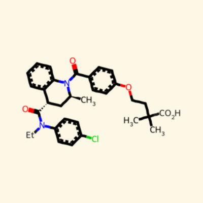 CCN(C(=O)[C@H]1C[C@H](C)N(C(=O)c2ccc(OCCC(C)(C)C(=O)O)cc2)c2ccccc21)c1ccc(Cl)cc1